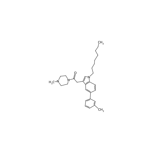 CCCCCCCCn1cc(CC(=O)N2CCN(C)CC2)c2cc(-c3cccc(C)c3)ccc21